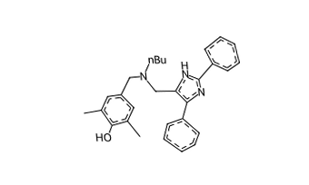 CCCCN(Cc1cc(C)c(O)c(C)c1)Cc1[nH]c(-c2ccccc2)nc1-c1ccccc1